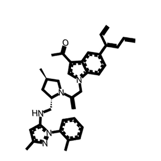 C=C/C=C(\C=C)c1ccc2c(c1)c(C(C)=O)cn2CC(=C)N1C[C@H](C)C[C@H]1CNc1cc(C)nn1-c1ccccc1C